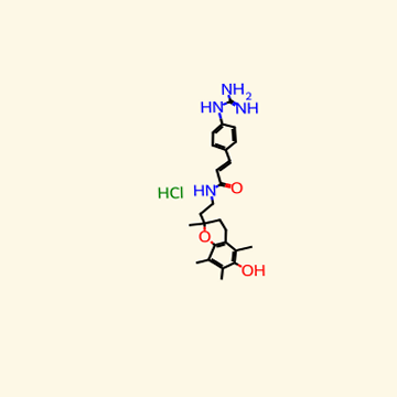 Cc1c(C)c2c(c(C)c1O)CCC(C)(CCNC(=O)C=Cc1ccc(NC(=N)N)cc1)O2.Cl